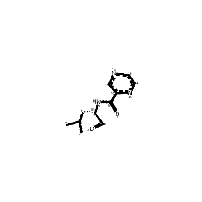 CC(C)C[C@@H]([C]=O)NC(=O)c1cnccn1